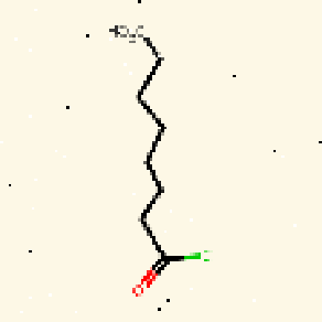 O=C(O)CCCCCCC(=O)Cl